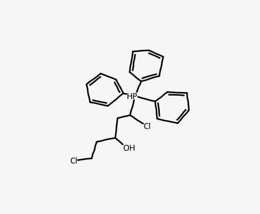 OC(CCCl)CC(Cl)[PH](c1ccccc1)(c1ccccc1)c1ccccc1